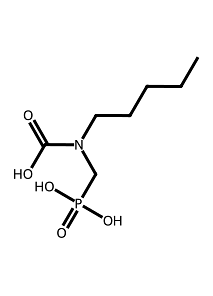 CCCCCN(CP(=O)(O)O)C(=O)O